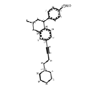 COc1ccc(C2CN(C)Cc3nc(C#CCCN4CCCCC4)ccc32)cc1